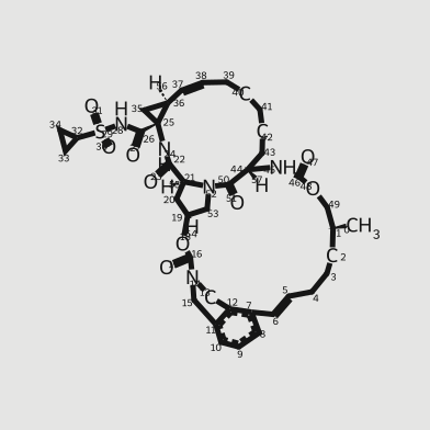 C[C@H]1CCC/C=C/c2cccc3c2CN(C3)C(=O)O[C@@H]2C[C@H]3C(=O)N[C@]4(C(=O)NS(=O)(=O)C5CC5)C[C@H]4/C=C\CCCCC[C@H](NC(=O)OC1)C(=O)N3C2